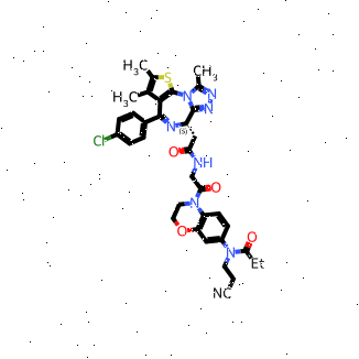 CCC(=O)N(CCC#N)c1ccc2c(c1)OCCN2C(=O)CNC(=O)C[C@@H]1N=C(c2ccc(Cl)cc2)c2c(sc(C)c2C)-n2c(C)nnc21